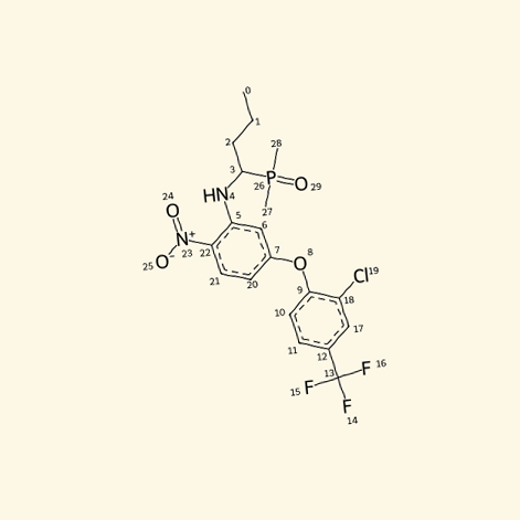 CCCC(Nc1cc(Oc2ccc(C(F)(F)F)cc2Cl)ccc1[N+](=O)[O-])P(C)(C)=O